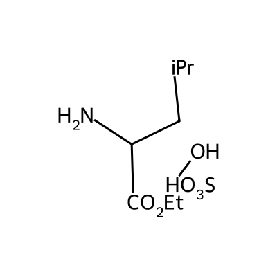 CCOC(=O)C(N)CC(C)C.O=S(=O)(O)O